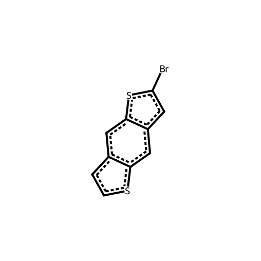 Brc1cc2cc3sccc3cc2s1